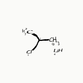 CC(C)Cl.[LiH]